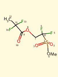 COS(=O)(=O)C(F)(F)COC(=O)C(C)(F)F